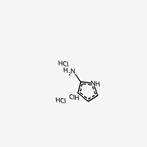 Cl.Cl.Cl.Nc1ccc[nH]1